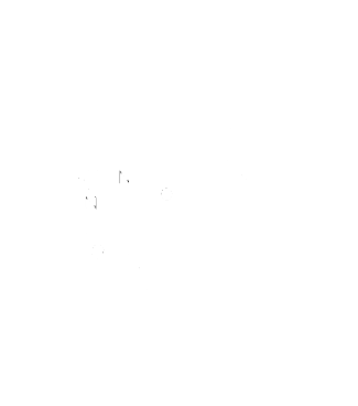 COC1C(c2nccn2C)C(OCc2cccc3ccccc23)CCC1(C)C